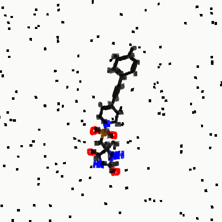 Cc1ccc(C#CC2=CCN(S(=O)(=O)CC3(C)NC(=O)NC3=O)CC2)cc1